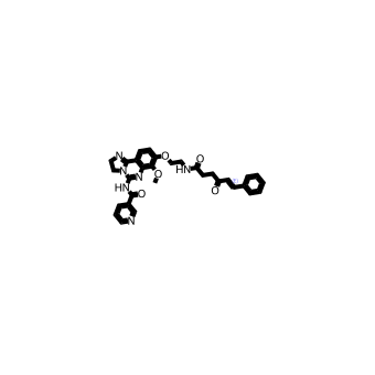 COc1c(OCCNC(=O)CCC(=O)/C=C/c2ccccc2)ccc2c1N=C(NC(=O)c1cccnc1)N1CCN=C21